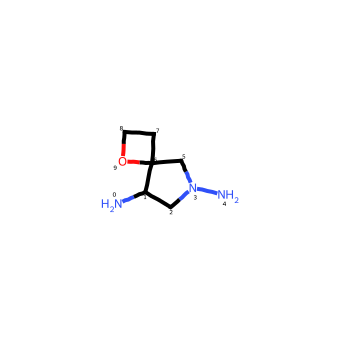 NC1CN(N)CC12CCO2